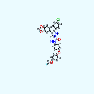 O=C(Nc1ccc(Oc2ccc(OCF)cc2)cc1)N1CC(c2ccc3c(c2)OCO3)C(c2ccc(Cl)cc2)=N1